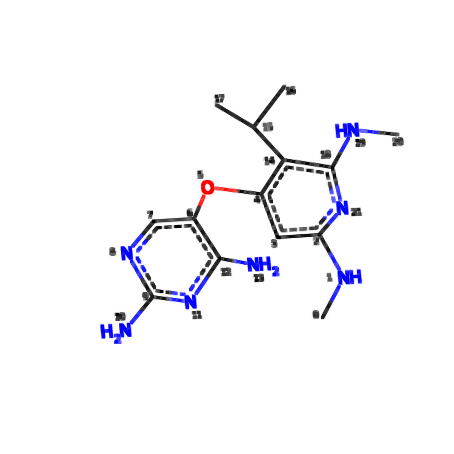 CNc1cc(Oc2cnc(N)nc2N)c(C(C)C)c(NC)n1